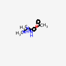 CNCCN(C)Cc1n[nH]c2ccc(OCC(C)c3ccccc3)cc12